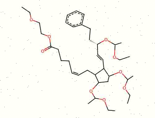 CCOCCOC(=O)CCC/C=C\CC1C(OC(C)OCC)CC(OC(C)OCC)C1/C=C/[C@H](CCc1ccccc1)OC(C)OCC